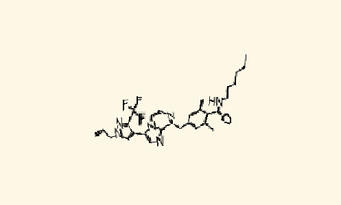 C=CCn1cc(-c2cnc3c(Cc4cc(C)c(C(=O)NCCCCCC)c(C)c4)nccn23)c(C(F)(F)F)n1